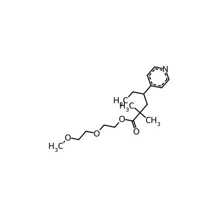 CCC(CC(C)(C)C(=O)OCCOCCOC)c1ccncc1